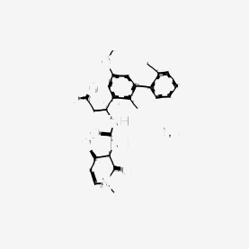 COc1cc(-c2ccccc2C)c(C)c(C(CC(=O)O)NC(=O)NC2C(=O)C=CN(C)C2=O)c1.[NaH]